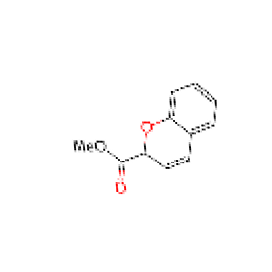 COC(=O)C1C=Cc2ccccc2O1